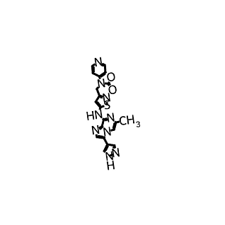 Cc1cn2c(-c3cn[nH]c3)cnc2c(Nc2cc(Cn3c(=O)oc4cnccc43)ns2)n1